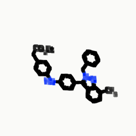 CCOC(=O)Cc1ccc(Nc2ccc(-c3c4cccc(C(F)(F)F)c4nn3Cc3ccccc3)cc2)cc1